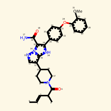 C/C=C/C(C)C(=O)N1CCC(c2cnn3c(C(N)=O)c(-c4ccc(Oc5ccccc5OC)cc4)[nH]c23)CC1